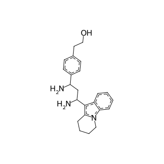 NC(CC(N)c1c2n(c3ccccc13)CCCC2)c1ccc(CCO)cc1